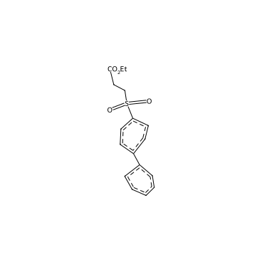 CCOC(=O)CCS(=O)(=O)c1ccc(-c2ccccc2)cc1